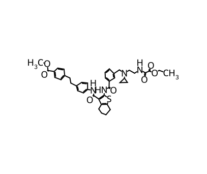 CCOC(=O)C(=O)NCCN(Cc1cccc(C(=O)Nc2sc3c(c2C(=O)Nc2ccc(CCc4ccc(C(=O)OC)cc4)cc2)CCCC3)c1)C1CC1